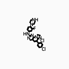 Fc1cc(Nc2ncc3c(n2)N2CCN=C2C(c2ccc(Cl)cc2Cl)=C3)ccc1N1CCNCC1